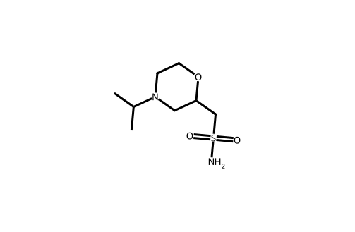 CC(C)N1CCOC(CS(N)(=O)=O)C1